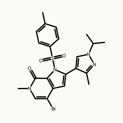 Cc1ccc(S(=O)(=O)n2c(-c3cn(C(C)C)nc3C)cc3c(Br)cn(C)c(=O)c32)cc1